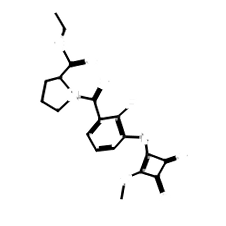 CCOC(=O)C1CCCN1C(=O)c1cccc(Nc2c(OC)c(=O)c2=O)c1F